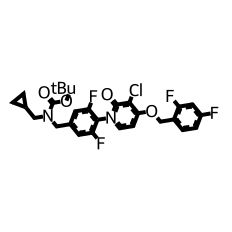 CC(C)(C)OC(=O)N(Cc1cc(F)c(-n2ccc(OCc3ccc(F)cc3F)c(Cl)c2=O)c(F)c1)CC1CC1